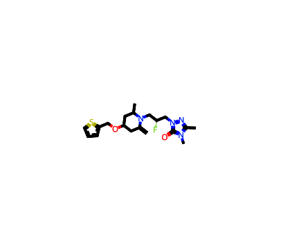 C=C1CC(OCc2cccs2)CC(C)N1C[C@@H](F)Cn1nc(C)n(C)c1=O